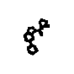 O=C([C@@H]1CCCN1)N1CCc2ccc(-c3ccccc3)cc21